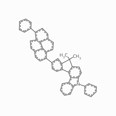 CC1(C)c2cc(-c3ccc4ccc5c(-c6ccccc6)ccc6ccc3c4c65)ccc2-c2c1ccc1c2c2ccccc2n1-c1ccccc1